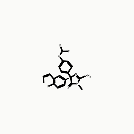 C/C=C\c1cc([C@@]2(c3ccc(OC(F)F)cc3)N=C(N)N(C)C2=O)ccc1F